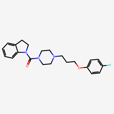 O=C(N1CCN(CCCOc2ccc(F)cc2)CC1)N1CCc2ccccc21